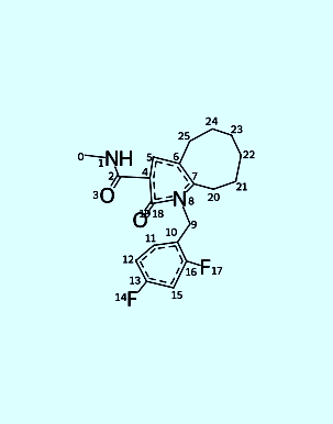 CNC(=O)c1cc2c(n(Cc3ccc(F)cc3F)c1=O)CCCCCC2